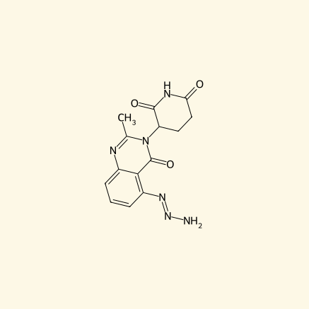 Cc1nc2cccc(N=NN)c2c(=O)n1C1CCC(=O)NC1=O